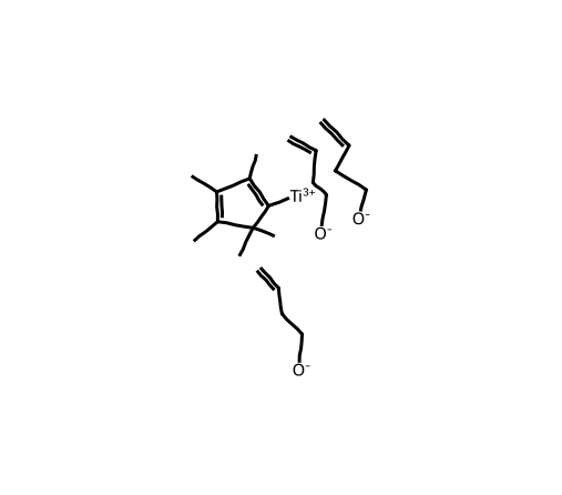 C=CCC[O-].C=CCC[O-].C=CCC[O-].CC1=C(C)C(C)(C)[C]([Ti+3])=C1C